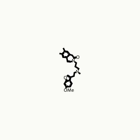 COc1ccc2c(CCN(C)CCCN3C=Cc4cc(C)c(C)cc4CC3=O)coc2c1